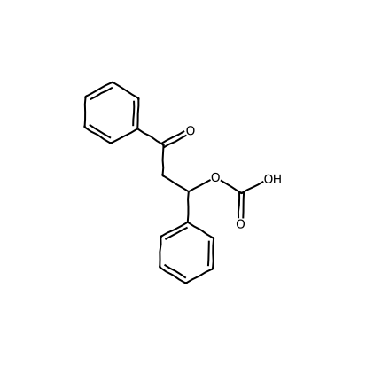 O=C(O)OC(CC(=O)c1ccccc1)c1ccccc1